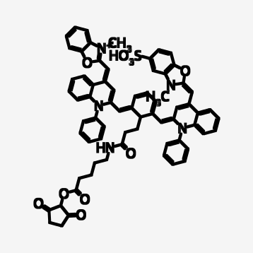 CN1/C(=C\C2=CC(=C\C3=CC=C/C(=C\C4=CC(=C/c5oc6ccccc6[n+]5C)/c5ccccc5N4c4ccccc4)C3CCC(=O)NCCCCC(=O)OC3C(=O)CCC3=O)/N(c3ccccc3)c3ccccc32)Oc2ccc(S(=O)(=O)O)cc21